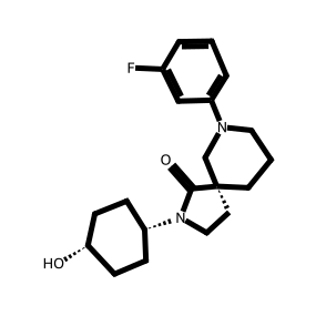 O=C1N([C@H]2CC[C@@H](O)CC2)CC[C@]12CCCN(c1cccc(F)c1)C2